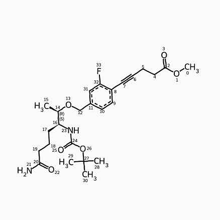 COC(=O)CCC#Cc1ccc(CO[C@H](C)[C@H](CCCC(N)=O)NC(=O)OC(C)(C)C)cc1F